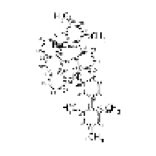 Cc1cc(C)c(-c2ccc3c4ccc(-c5c(C)cc(C)cc5C)cc4n(-c4cccc5cc6ccccc6cc45)c3c2)c(C)c1